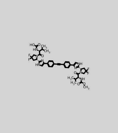 COC(=O)N[C@H](C(=O)N1CC(F)(F)C[C@H]1c1nc(-c2ccc(C#Cc3ccc(-c4c[nH]c([C@@H]5CC(F)(F)CN5C(=O)[C@@H](NC(=O)O)C(C)C)n4)cc3)cc2)c[nH]1)C(C)C